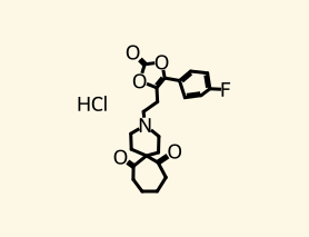 Cl.O=C1CCCCC(=O)C12CCN(CCc1oc(=O)oc1-c1ccc(F)cc1)CC2